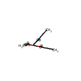 CCCCCCCCCCCCCC(=O)OCCCCCCC(CCCCCCOC(=O)CCCCCCCCCCCCC)CCCCOC(=O)C1CCN(C)CC1